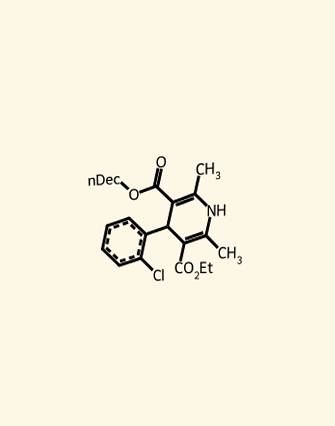 CCCCCCCCCCOC(=O)C1=C(C)NC(C)=C(C(=O)OCC)C1c1ccccc1Cl